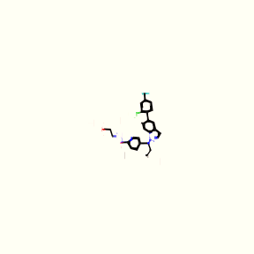 Cc1cc2c(ccn2C(CC(C)C)c2ccc(C(=O)NCCC(=O)O)cc2)cc1-c1ccc(C(F)(F)F)cc1Cl